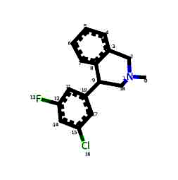 CN1Cc2ccccc2C(c2cc(F)cc(Cl)c2)C1